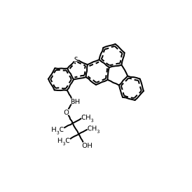 CC(C)(O)C(C)(C)OBc1cccc2sc3c4cccc5c4c(cc3c12)-c1ccccc1-5